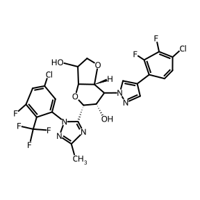 Cc1nc([C@@H]2OC3C(O)CO[C@@H]3C(n3cc(-c4ccc(Cl)c(F)c4F)cn3)[C@@H]2O)n(-c2cc(Cl)cc(F)c2C(F)(F)F)n1